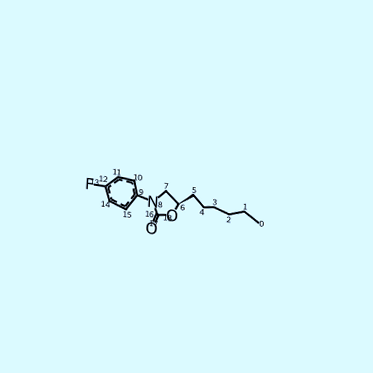 CCCCCC[C@@H]1CN(c2ccc(F)cc2)C(=O)O1